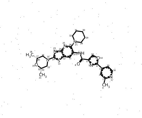 Cc1cc(-c2nc(C(=O)Nc3cc4sc(N5C[C@@H](C)O[C@@H](C)C5)nc4nc3N3CCCCC3)co2)ccn1